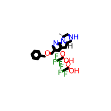 C[C@@H]1CNC[C@H]2Cc3cc(COCc4ccccc4)cnc3N21.O=C(O)C(F)(F)F.O=C(O)C(F)(F)F